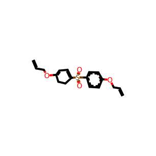 C=CCOC1=CC=C(S(=O)(=O)c2ccc(OCC=C)cc2)CC1